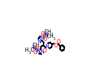 CN(C)S(=O)(=O)n1ccnc1CC(Cc1nccn1S(=O)(=O)N(C)C)C(=O)N1CCC(COC(=O)c2ccccc2)CC1